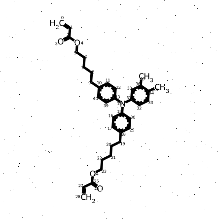 C=CC(=O)OCCCCCc1ccc(N(c2ccc(CCCCCOC(=O)C=C)cc2)c2ccc(C)c(C)c2)cc1